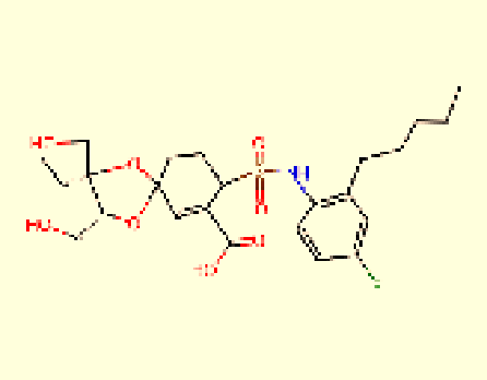 CCCCCc1cc(F)ccc1NS(=O)(=O)C1CCC2(C=C1C(=O)O)O[C@H](CO)[C@@](CC)(CO)O2